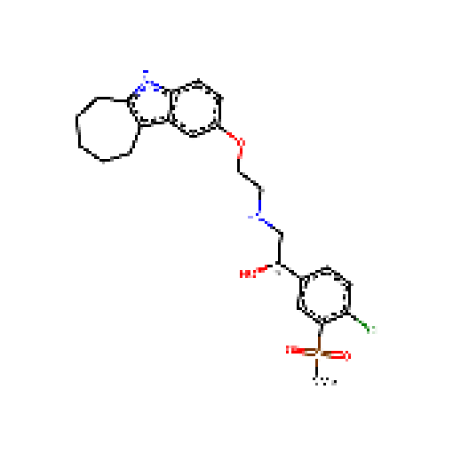 CNS(=O)(=O)c1cc([C@@H](O)CNCCOc2ccc3[nH]c4c(c3c2)CCCCC4)ccc1Cl